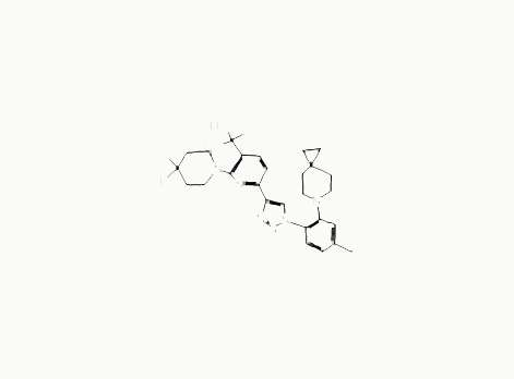 CC(C)(O)c1ccc(-c2cn(-c3ccc(I)cc3N3CCC4(CC3)CC4)nn2)nc1N1CCC(F)(F)CC1